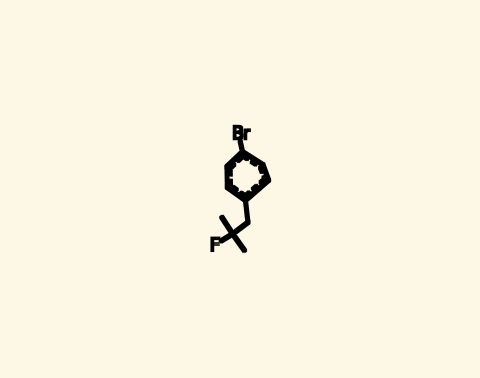 CC(C)(F)Cc1ccc(Br)cc1